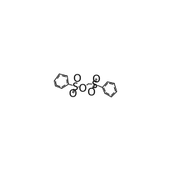 O=S(=O)(COS(=O)(=O)c1ccccc1)c1ccccc1